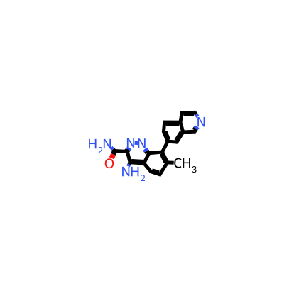 Cc1ccc2c(N)c(C(N)=O)nnc2c1-c1ccc2ccncc2c1